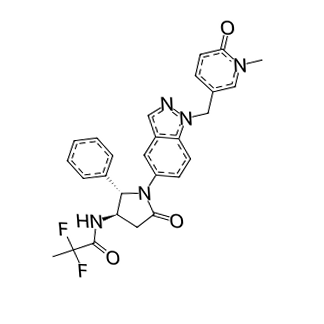 Cn1cc(Cn2ncc3cc(N4C(=O)C[C@@H](NC(=O)C(C)(F)F)[C@@H]4c4ccccc4)ccc32)ccc1=O